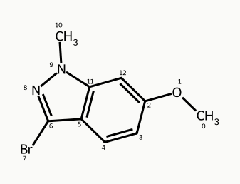 COc1ccc2c(Br)nn(C)c2c1